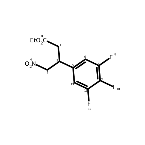 CCOC(=O)CC(C[N+](=O)[O-])c1cc(F)c(I)c(F)c1